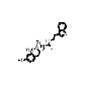 CN(C)[C@H](CNC(=O)NCCc1csc2ccccc12)Cc1ccc(O)cc1